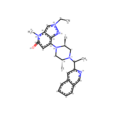 CC[C@H]1CN(C(C)c2cc3ccccc3cn2)[C@H](CC)CN1c1cc(=O)n(C)c2cn(CC#N)nc12